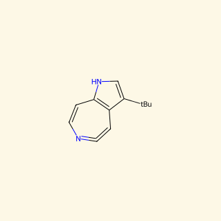 CC(C)(C)c1c[nH]c2c1C=C=NC=C2